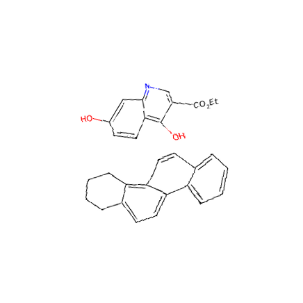 CCOC(=O)c1cnc2cc(O)ccc2c1O.c1ccc2c(c1)ccc1c3c(ccc12)CCCC3